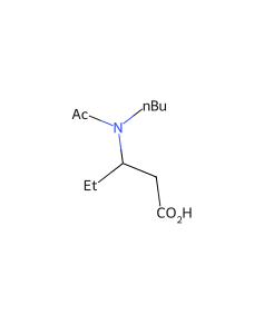 CCCCN(C(C)=O)C(CC)CC(=O)O